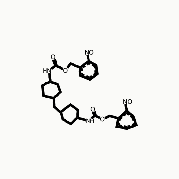 O=Nc1ccccc1COC(=O)NC1CCC(CC2CCC(NC(=O)OCc3ccccc3N=O)CC2)CC1